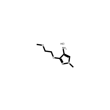 COCCOc1nn(C)cc1N.Cl